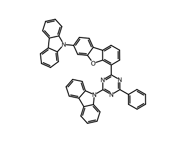 c1ccc(-c2nc(-c3cccc4c3oc3cc(-n5c6ccccc6c6ccccc65)ccc34)nc(-n3c4ccccc4c4ccccc43)n2)cc1